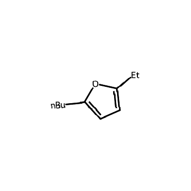 CCCCc1ccc(CC)o1